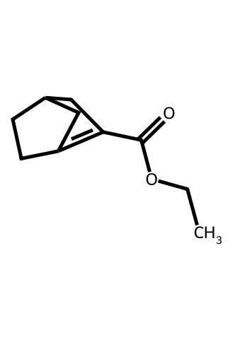 CCOC(=O)C1=C2CCC(C2)C1